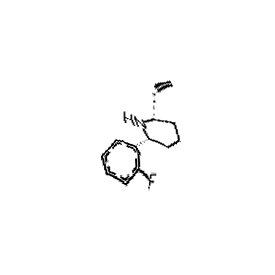 C=C[C@@H]1CCC[C@H](c2ccccc2F)N1